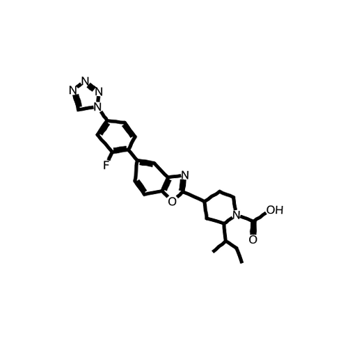 CCC(C)C1CC(c2nc3cc(-c4ccc(-n5cnnn5)cc4F)ccc3o2)CCN1C(=O)O